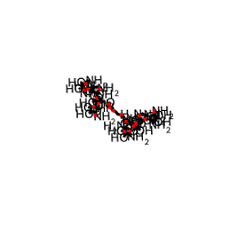 NCC1O[C@H](OC2C(N)C[C@@H](N)C(O)[C@H]2O[C@@H]2O[C@H](CNC(=O)NCCCCCCNC(=O)NC[C@H]3O[C@@H](OC4C(O[C@@H]5OC(CN)C(O)[C@H](O)C5N)C(N)C[C@H](N)[C@@H]4O)C(O)C3O[C@@H]3O[C@H](CN)C(O)C(O)C3N)[C@H](O[C@@H]3CC(O)C(O)[C@H](CN)O3)C2O)C(N)[C@@H](O)C1O